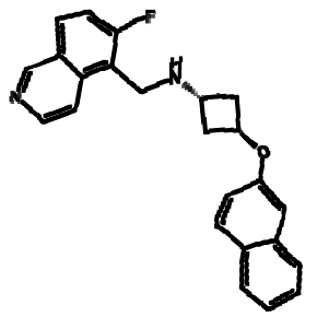 Fc1ccc2cnccc2c1CN[C@H]1C[C@H](Oc2ccc3ccccc3c2)C1